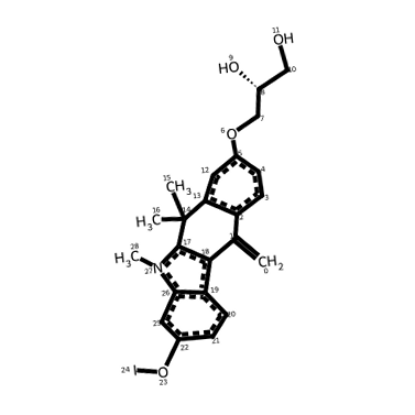 C=C1c2ccc(OC[C@H](O)CO)cc2C(C)(C)c2c1c1ccc(OI)cc1n2C